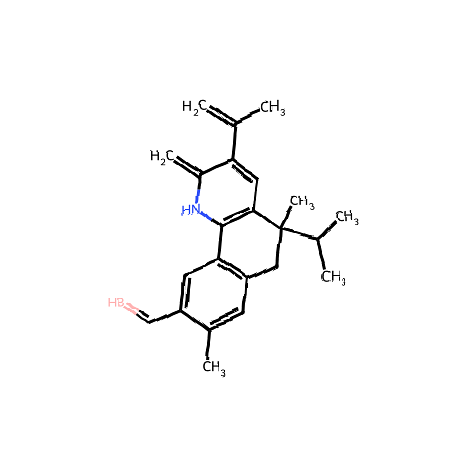 B=Cc1cc2c(cc1C)CC(C)(C(C)C)C1=C2NC(=C)C(C(=C)C)=C1